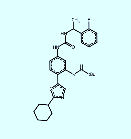 CC(NC(=O)Nc1ccc(-c2cnc(C3CCCCC3)s2)c(SNC(C)(C)C)c1)c1ccccc1F